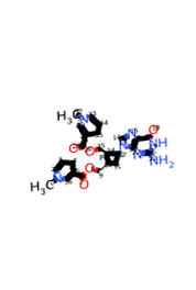 CN1C=CCC(C(=O)OC[C@H]2C[C@@H](n3cnc4c(=O)[nH]c(N)nc43)[C@@H]2COC(=O)C2=CN(C)C=CC2)=C1